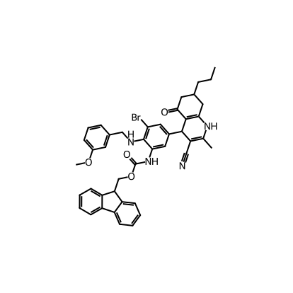 CCCC1CC(=O)C2=C(C1)NC(C)=C(C#N)C2c1cc(Br)c(NCc2cccc(OC)c2)c(NC(=O)OCC2c3ccccc3-c3ccccc32)c1